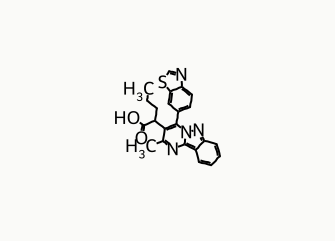 CCCC(C(=O)O)c1c(C)nc2c3ccccc3nn2c1-c1ccc2ncsc2c1